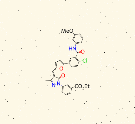 CCOC(=O)c1cccc(N2N=C(C)/C(=C/c3ccc(-c4ccc(Cl)c(C(=O)Nc5cccc(OC)c5)c4)o3)C2=O)c1